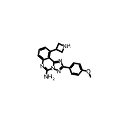 COc1ccc(-c2nc3c4c(C5CNC5)cccc4nc(N)n3n2)cc1